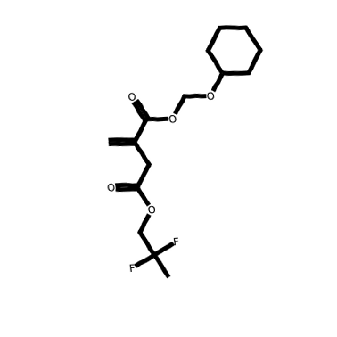 C=C(CC(=O)OCC(C)(F)F)C(=O)OCOC1CCCCC1